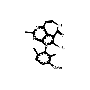 COc1ccc(C)c(-n2c(N)c3c4c(nc(C)nc42)C=CNC3=O)c1C